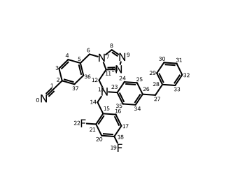 N#Cc1ccc(Cn2cnnc2CN(Cc2ccc(F)cc2F)c2ccc(Cc3ccccc3)cc2)cc1